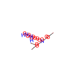 CCCCCCCCCOC(=O)CCCCCCCN(CCCCCCCC(=O)OC(CCCCCCCC)CCCCCCCC)C(=O)CCOCCOCCOCCOC(=O)CNCCOC(=O)CNCCOC